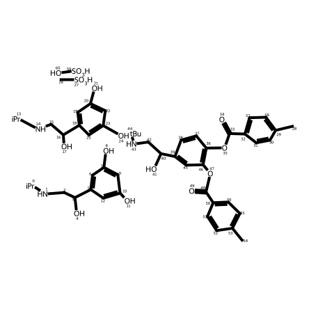 CC(C)NCC(O)c1cc(O)cc(O)c1.CC(C)NCC(O)c1cc(O)cc(O)c1.CS(=O)(=O)O.Cc1ccc(C(=O)Oc2ccc(C(O)CNC(C)(C)C)cc2OC(=O)c2ccc(C)cc2)cc1.O=S(=O)(O)O